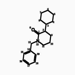 O=C1C(C2CCCCC2)CCCN1Cc1ccccc1